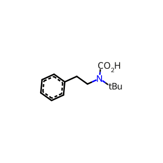 CC(C)(C)N(CCc1ccccc1)C(=O)O